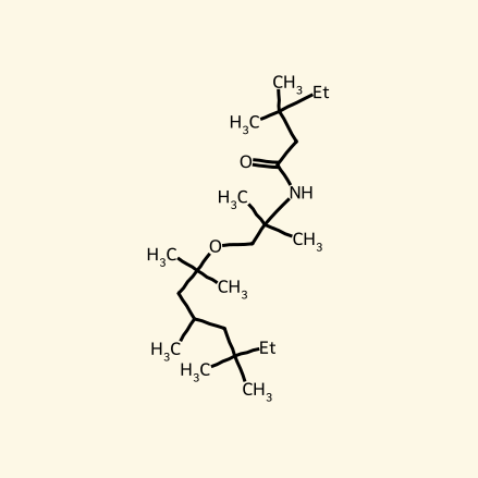 CCC(C)(C)CC(=O)NC(C)(C)COC(C)(C)CC(C)CC(C)(C)CC